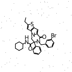 CCc1cc2c(cc3n2CC(C(=O)NC2CCCCC2)(c2ccccc2)N(Cc2cccc(Br)c2)C3=O)s1